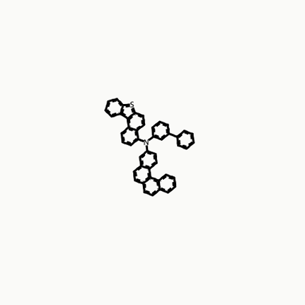 c1ccc(-c2cccc(N(c3ccc4c(ccc5ccc6ccccc6c54)c3)c3cccc4c3ccc3sc5ccccc5c34)c2)cc1